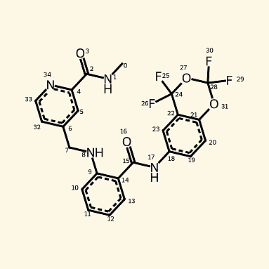 CNC(=O)c1cc(CNc2ccccc2C(=O)Nc2ccc3c(c2)C(F)(F)OC(F)(F)O3)ccn1